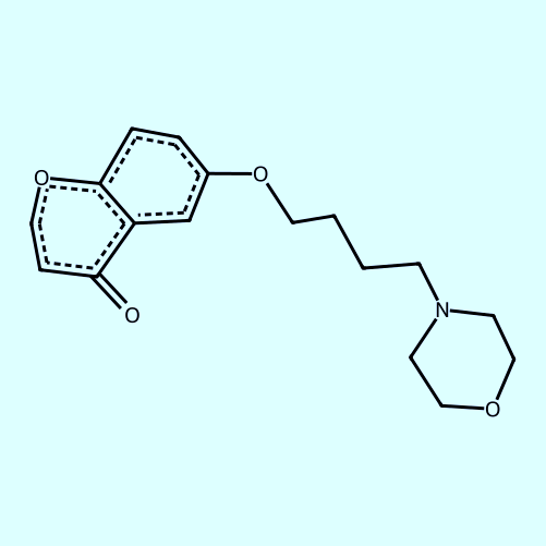 O=c1ccoc2ccc(OCCCCN3CCOCC3)cc12